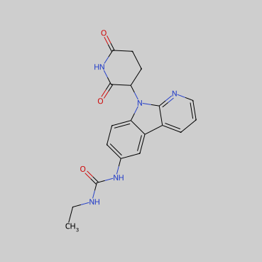 CCNC(=O)Nc1ccc2c(c1)c1cccnc1n2C1CCC(=O)NC1=O